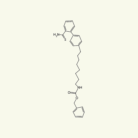 NC(=S)c1ccccc1-c1ccc(CCCCCCCCNC(=O)OCc2ccccc2)cc1